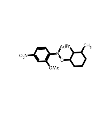 COc1cc([N+](=O)[O-])ccc1N(OC1CCCC(C)C1C(C)C)C(C)=O